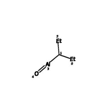 CC[CH](CC)[Al]=[O]